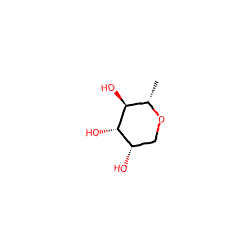 C[C@@H]1OC[C@H](O)[C@H](O)[C@H]1O